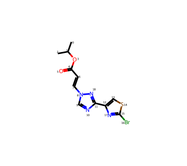 CC(C)OC(=O)C=Cn1cnc(-c2csc(Br)n2)n1